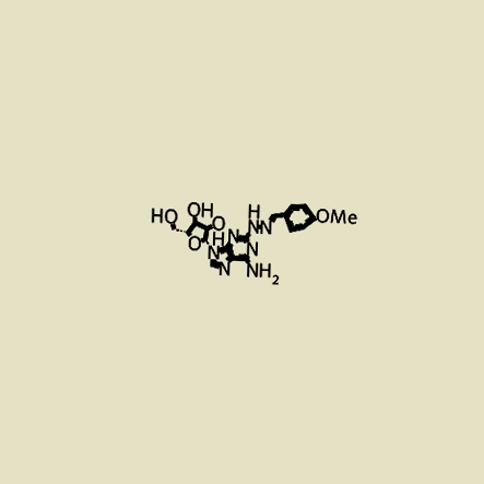 COc1ccc(C=NNc2nc(N)c3ncn([C@@H]4O[C@H](CO)C(O)C4O)c3n2)cc1